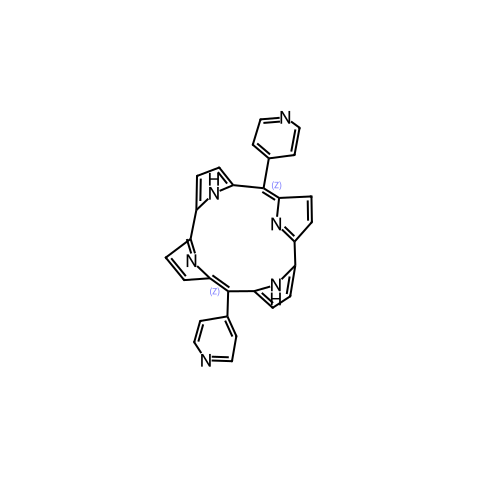 C1=C/C2=C(\c3ccncc3)c3ccc([nH]3)C3=N/C(=C(/c4ccncc4)c4ccc([nH]4)C1=N2)C=C3